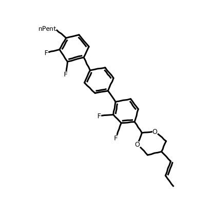 C/C=C/C1COC(c2ccc(-c3ccc(-c4ccc(CCCCC)c(F)c4F)cc3)c(F)c2F)OC1